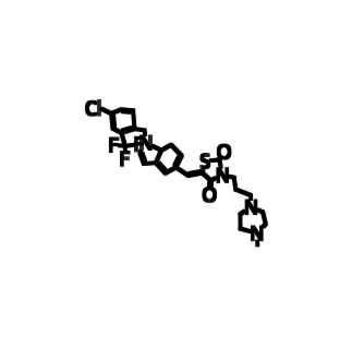 CN1CCN(CCCN2C(=O)S/C(=C\C3=CCC4C(=C3)C=CN4Cc3ccc(Cl)cc3C(F)(F)F)C2=O)CC1